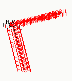 COC(CO)(OC)OC.OC(O)O.OC(O)O.OC(O)O.OC(O)O.OC(O)O.OC(O)O.OC(O)O.OC(O)O.OC(O)O.OC(O)O.OC(O)O.OC(O)O.OC(O)O.OC(O)O.OC(O)O.OC(O)O.OC(O)O.OC(O)O.OC(O)O.OC(O)O.OC(O)O.OC(O)O.OC(O)O.OC(O)O